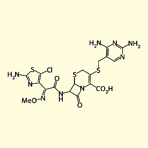 CON=C(C(=O)NC1C(=O)N2C(C(=O)O)=C(SCc3cnc(N)nc3N)CSC12)c1nc(N)sc1Cl